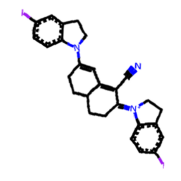 N#CC1=C2C=C(N3CCc4cc(I)ccc43)CCC2CC/C1=[N+]1/CCc2cc(I)ccc21